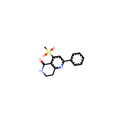 CS(=O)(=O)c1cc(-c2ccccc2)nc2c1C(=O)NCC2